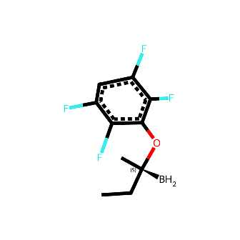 B[C@](C)(CC)Oc1c(F)c(F)cc(F)c1F